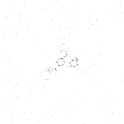 C=CCN1CCC2CCCC(C1)N2Cc1ccc(C(=O)NN2CCCCCC2)cc1-c1cccc(O)c1